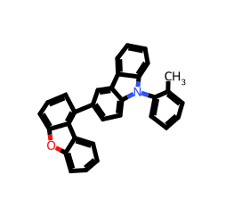 Cc1ccccc1-n1c2ccccc2c2cc(-c3cccc4oc5ccccc5c34)ccc21